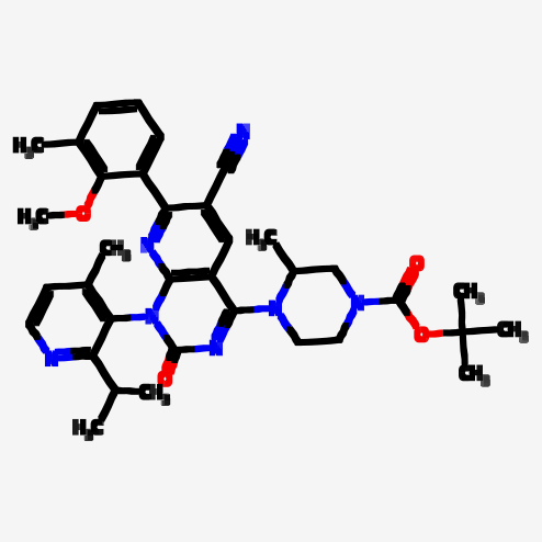 COc1c(C)cccc1-c1nc2c(cc1C#N)c(N1CCN(C(=O)OC(C)(C)C)CC1C)nc(=O)n2-c1c(C)ccnc1C(C)C